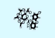 CC(=O)O[C@@H]1O[C@H](CO)[C@H](OC(C)=O)[C@H](OC(C)=O)[C@H]1OC(C)=O.O=c1ccc2nc3ccccc3oc-2c1